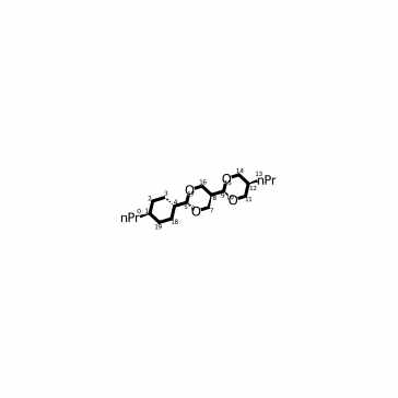 CCC[C@H]1CC[C@H]([C@H]2OC[C@H]([C@H]3OC[C@H](CCC)CO3)CO2)CC1